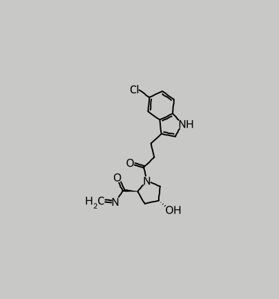 C=NC(=O)[C@@H]1C[C@@H](O)CN1C(=O)CCc1c[nH]c2ccc(Cl)cc12